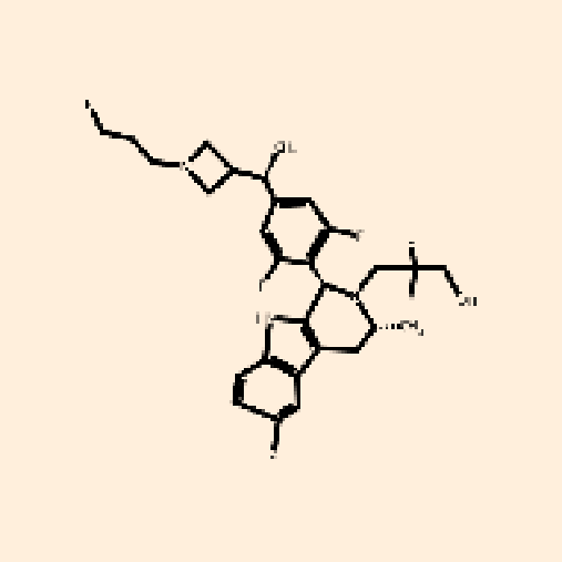 C[C@@H]1Cc2c([nH]c3ccc(F)cc23)[C@@H](c2c(F)cc([C@H](C)C3CN(CCCF)C3)cc2F)N1CC(F)(F)CO